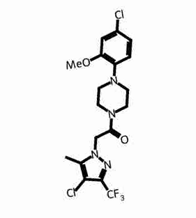 COc1cc(Cl)ccc1N1CCN(C(=O)Cn2nc(C(F)(F)F)c(Cl)c2C)CC1